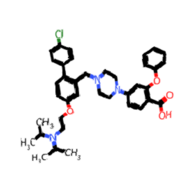 CC(C)N(CCOc1ccc(-c2ccc(Cl)cc2)c(CN2CCN(c3ccc(C(=O)O)c(Oc4ccccc4)c3)CC2)c1)C(C)C